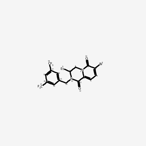 CCC1Cn2c(ccc(Br)c2=O)C(=O)N1Cc1cc(C(F)(F)F)cc(C(F)(F)F)c1